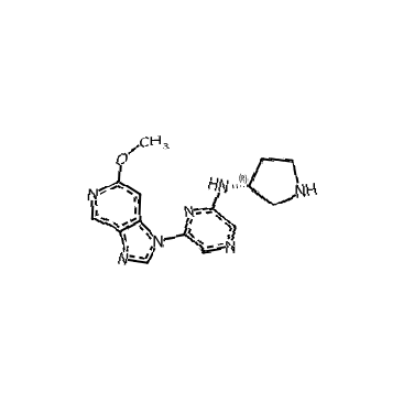 COc1cc2c(cn1)ncn2-c1cncc(N[C@@H]2CCNC2)n1